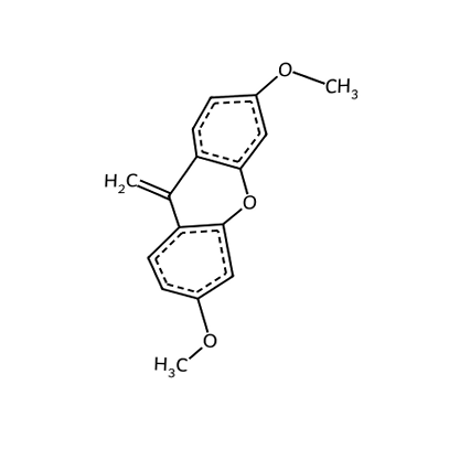 C=C1c2ccc(OC)cc2Oc2cc(OC)ccc21